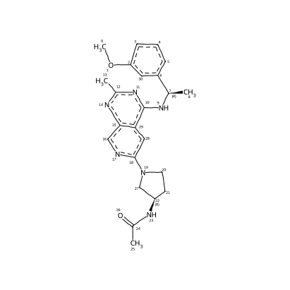 COc1cccc([C@@H](C)Nc2nc(C)nc3cnc(N4CC[C@@H](NC(C)=O)C4)cc23)c1